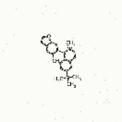 Cc1cc2ccoc2cc1-c1c2ccc([Si](C)(C)C)cc2cc[n+]1C